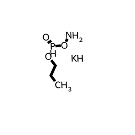 CCCO[PH](=O)ON.[KH]